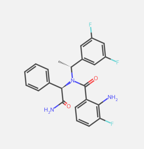 C[C@H](c1cc(F)cc(F)c1)N(C(=O)c1cccc(F)c1N)[C@@H](C(N)=O)c1ccccc1